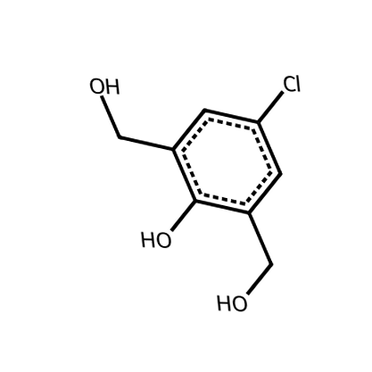 OCc1cc(Cl)cc(CO)c1O